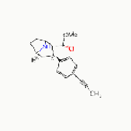 CC#Cc1ccc([C@H]2C[C@H]3CCC(N3)C2C(=O)OC)cc1